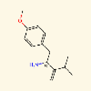 C=C(C(C)C)[C@H](N)Cc1ccc(OC)cc1